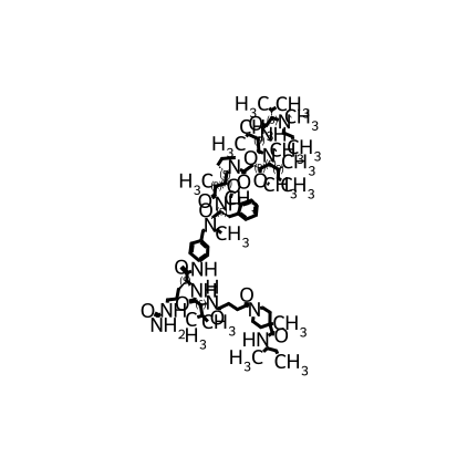 CCCN(C)[C@H](C(=O)N[C@H](C(=O)N(C)[C@@H]([C@@H](C)CC)[C@@H](CC(=O)N1CCC[C@H]1[C@H](OC)[C@@H](C)C(=O)N[C@@H](Cc1ccccc1)C(=O)N(C)Cc1ccc(NC(=O)[C@H](CCCNC(N)=O)NC(=O)[C@@H](NC(=O)CCC(=O)N2CCC(C)(C(=O)NC(C)CC)CC2)C(C)C)cc1)OC)C(C)C)C(C)C